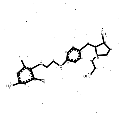 Cc1cc(Cl)c(OCCOc2ccc(CC3C(N)CCN3CCC=O)cc2)c(Cl)c1